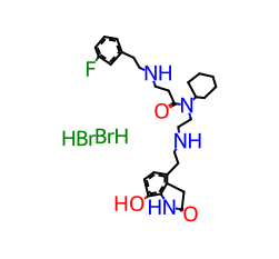 Br.Br.O=C1Cc2c(CCNCCN(C(=O)CCNCCc3cccc(F)c3)C3CCCCC3)ccc(O)c2N1